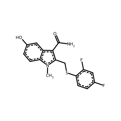 Cn1c(CSc2ccc(F)cc2F)c(C(N)=O)c2cc(O)ccc21